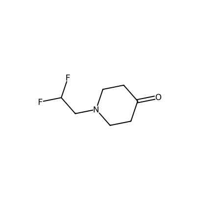 O=C1CCN(CC(F)F)CC1